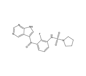 O=C(c1cccc(NS(=O)(=O)N2CCCC2)c1F)c1c[nH]c2ncncc12